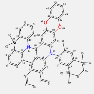 C=Cc1cc2c3c(c1/C=C\C)-c1cccc4c1N(B3c1cc3c(cc1N2c1cc2c(cc1C)C(C)(C)CCC2(C)C)Oc1ccccc1O3)c1ccccc1[Si]4(C)C